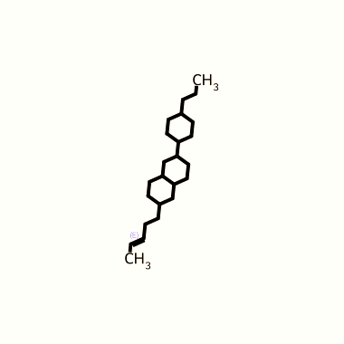 C/C=C/CCC1CCC2CC(C3CCC(CCC)CC3)CCC2C1